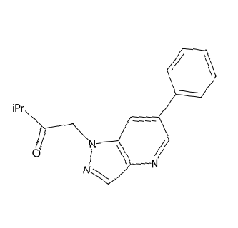 CC(C)C(=O)Cn1ncc2ncc(-c3ccccc3)cc21